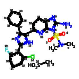 CN(C)S(=O)(=O)n1c(N)nc2ccc(-c3[nH]c(-c4c(F)cccc4Cl)nc3-c3ccccc3)nc21.CS(=O)(=O)O